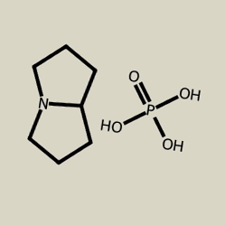 C1CC2CCCN2C1.O=P(O)(O)O